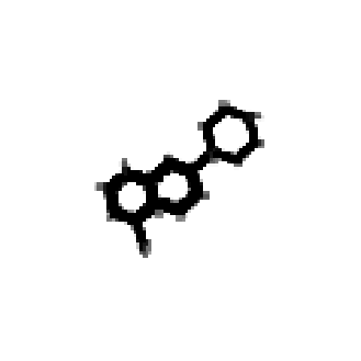 Clc1cnnc2cc(N3CCOCC3)ccc12